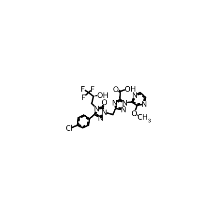 COc1nccnc1-n1nc(Cn2nc(-c3ccc(Cl)cc3)n(C[C@H](O)C(F)(F)F)c2=O)nc1C(=O)O